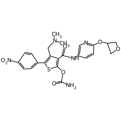 CN(C)Cc1c(-c2ccc([N+](=O)[O-])cc2)sc(OC(N)=O)c1C(=O)Nc1ccc(OC2COC2)nc1